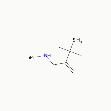 C=C(CNC(C)C)C(C)(C)[SiH3]